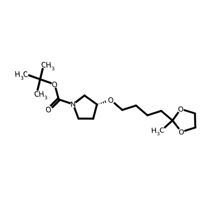 CC(C)(C)OC(=O)N1CC[C@@H](OCCCCC2(C)OCCO2)C1